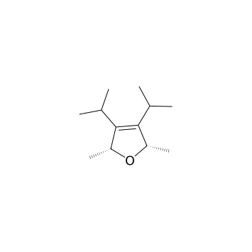 CC(C)C1=C(C(C)C)[C@@H](C)O[C@H]1C